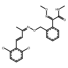 CNC(=O)C(=NOC)c1ccccc1CO[As]=C(C)C=Cc1c(Cl)cccc1Cl